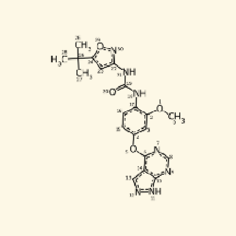 COc1cc(Oc2ncnc3[nH]ncc23)ccc1NC(=O)Nc1cc(C(C)(C)C)on1